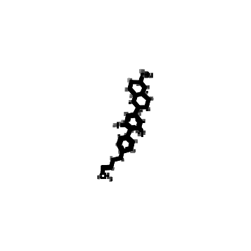 CC=CCCc1ccc(-c2c(F)cc(C3CCC4CC(CCCC)CCC4C3)cc2F)cc1